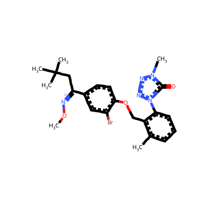 CO/N=C(/CC(C)(C)C)c1ccc(OCc2c(C)cccc2-n2nnn(C)c2=O)c(Br)c1